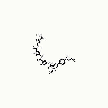 Cn1cc(NC(=O)c2cc(NC(=O)C3=CC(c4ccc([S+]([O-])CCCl)cc4)=C[N+]3(C)NC=O)cn2C)cc1C(=O)NCCNC(=N)N